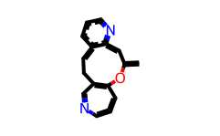 C=C1/C=c2/nccc/c2=C/CC2=C(C=C=CN=C2)O1